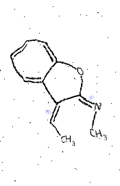 C/C=C1\C(=N/C)Oc2ccccc21